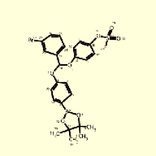 CC1(C)OB(c2ccc(OC(Oc3ccc(OS(=O)(=O)F)cc3)c3cccc(Br)c3)cc2)OC1(C)C